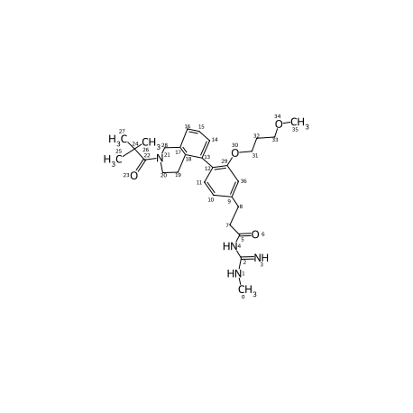 CNC(=N)NC(=O)CCc1ccc(-c2cccc3c2CCN(C(=O)C(C)(C)C)C3)c(OCCCOC)c1